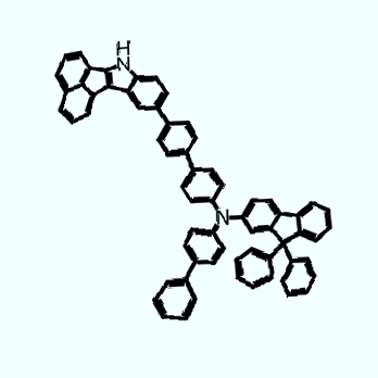 c1ccc(-c2ccc(N(c3ccc(-c4ccc(-c5ccc6[nH]c7c(c6c5)-c5cccc6cccc-7c56)cc4)cc3)c3ccc4c(c3)C(c3ccccc3)(c3ccccc3)c3ccccc3-4)cc2)cc1